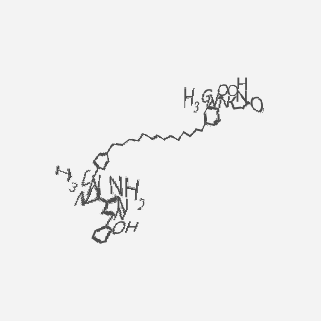 CC(c1ccc(CCCCCCCCCCCCCCc2ccc3c(c2)n(C)c(=O)n3C2CCC(=O)NC2=O)cc1)n1cc(-c2cc(-c3ccccc3O)nnc2N)cn1